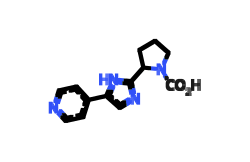 O=C(O)N1CCCC1c1ncc(-c2ccncc2)[nH]1